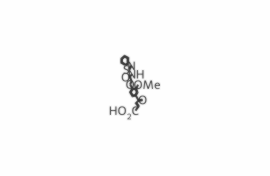 COc1cc(C(=O)C=CC(=O)O)ccc1OCC(=O)Nc1nc2ccccc2s1